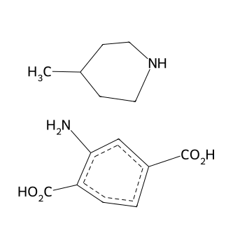 CC1CCNCC1.Nc1cc(C(=O)O)ccc1C(=O)O